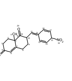 CC12CCC(=O)C=C1CCC(C=C1C=CC([N+](=O)[O-])C=C1)C2=O